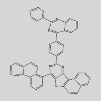 c1ccc(-c2nc(-c3ccc(-c4nc(-c5cccc6c5ccc5ccccc56)c5sc6ccc7ccccc7c6c5n4)cc3)c3ccccc3n2)cc1